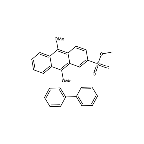 COc1c2ccccc2c(OC)c2cc(S(=O)(=O)OI)ccc12.c1ccc(-c2ccccc2)cc1